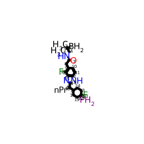 BC(C)(C)CNC(=O)Cc1ccc2[nH]c([C@@H](CCC)C3CCC(F)(P)CC3)nc2c1F